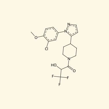 COc1ccc(-n2nccc2C2CCN(C(=O)C(O)C(F)(F)F)CC2)cc1Cl